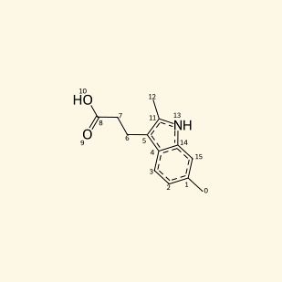 Cc1ccc2c(CCC(=O)O)c(C)[nH]c2c1